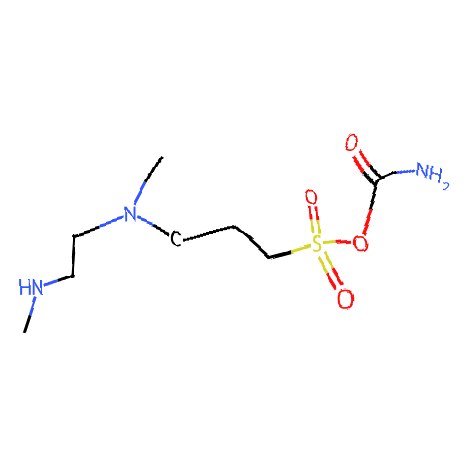 CNCCN(C)CCCS(=O)(=O)OC(N)=O